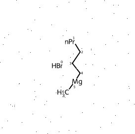 Br.CCCCC[CH2][Mg][CH3]